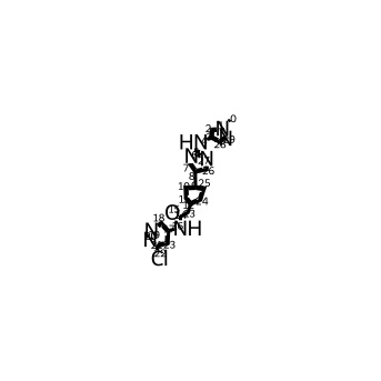 Cn1cc(Nc2ncc(-c3ccc(CC(=O)Nc4cnnc(Cl)c4)cc3)cn2)cn1